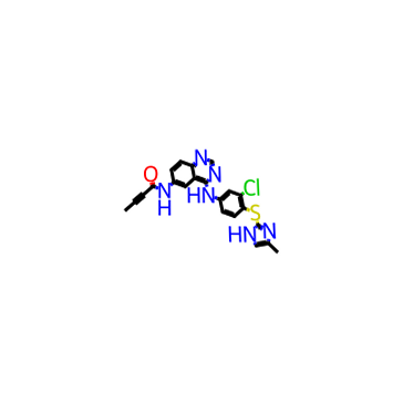 CC#CC(=O)Nc1ccc2ncnc(Nc3ccc(Sc4nc(C)c[nH]4)c(Cl)c3)c2c1